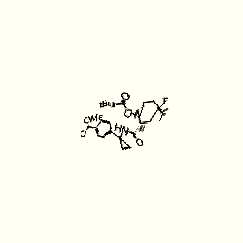 COC(=O)c1ccc(C2(NC(=O)[C@H]3CC(F)(F)CCN3OC(=O)C(C)(C)C)CC2)cc1